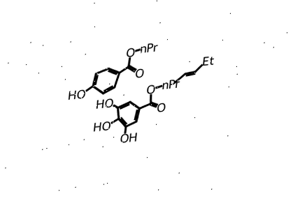 CC=CCC.CCCOC(=O)c1cc(O)c(O)c(O)c1.CCCOC(=O)c1ccc(O)cc1